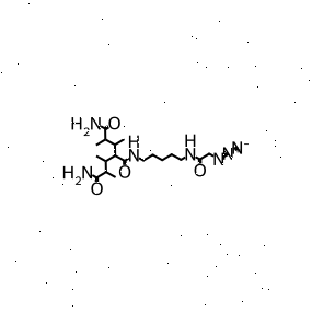 CC(C(N)=O)C(C)C(C(=O)NCCCCCNC(=O)CN=[N+]=[N-])C(C)C(C)C(N)=O